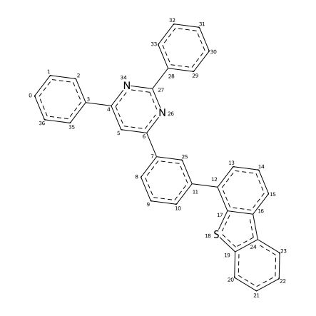 c1ccc(-c2cc(-c3cccc(-c4cccc5c4sc4ccccc45)c3)nc(-c3ccccc3)n2)cc1